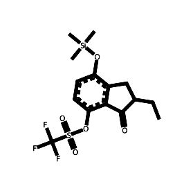 CCC1Cc2c(O[Si](C)(C)C)ccc(OS(=O)(=O)C(F)(F)F)c2C1=O